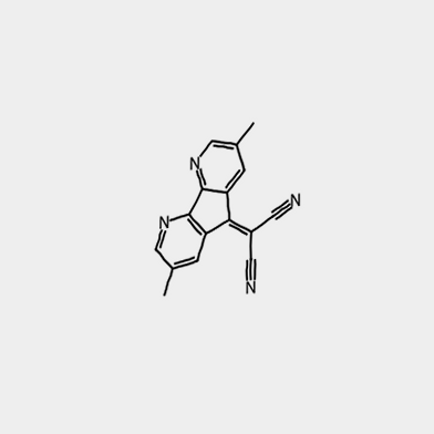 Cc1cnc2c(c1)C(=C(C#N)C#N)c1cc(C)cnc1-2